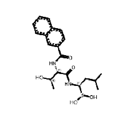 CC(C)C[C@H](NC(=O)[C@@H](NC(=O)c1ccc2ccccc2c1)[C@@H](C)O)B(O)O